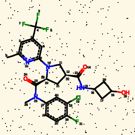 Cc1cc(C(F)(F)F)cc(N2C[C@@H](C(=O)NC3CC(O)C3)C[C@H]2C(=O)N(C)c2ccc(F)c(Cl)c2)n1